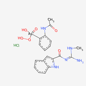 CC(=O)Nc1ccccc1[As](=O)(O)OO.CNC(N)=NC(=O)c1cc2ccccc2[nH]1.Cl